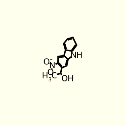 CC(O)c1cc2[nH]c3ccccc3c2cc1[N+](=O)[O-]